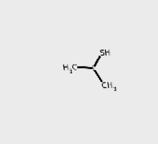 CI(C)S